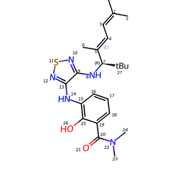 CC(C)=C/C=C(\C)[C@H](Nc1nsnc1Nc1cccc(C(=O)N(C)C)c1O)C(C)(C)C